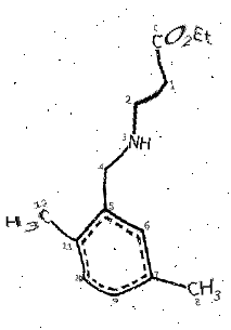 CCOC(=O)CCNCc1cc(C)ccc1C